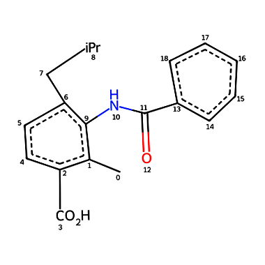 Cc1c(C(=O)O)ccc(CC(C)C)c1NC(=O)c1ccccc1